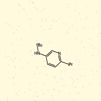 CC(C)c1ccc(NC(C)(C)C)cn1